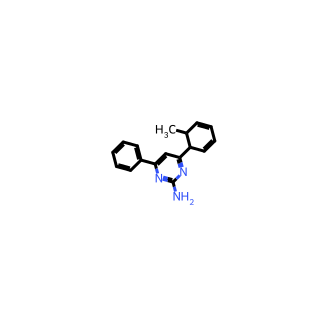 CC1C=CC=CC1c1cc(-c2ccccc2)nc(N)n1